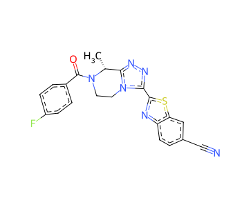 C[C@@H]1c2nnc(-c3nc4ccc(C#N)cc4s3)n2CCN1C(=O)c1ccc(F)cc1